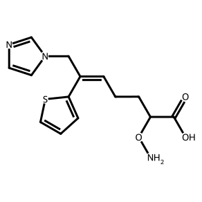 NOC(CCC=C(Cn1ccnc1)c1cccs1)C(=O)O